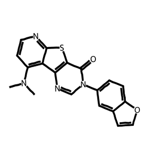 CN(C)c1ccnc2sc3c(=O)n(-c4ccc5occc5c4)cnc3c12